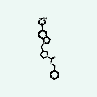 O=C(OCc1ccccc1)N1CCC(Cn2ccc3cc(-c4cn[nH]c4)ccc32)C1